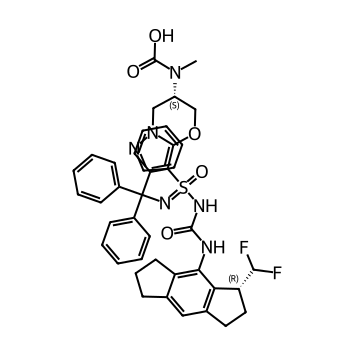 CN(C(=O)O)[C@@H]1COc2c(S(=O)(=NC(c3ccccc3)(c3ccccc3)c3ccccc3)NC(=O)Nc3c4c(cc5c3[C@H](C(F)F)CC5)CCC4)cnn2C1